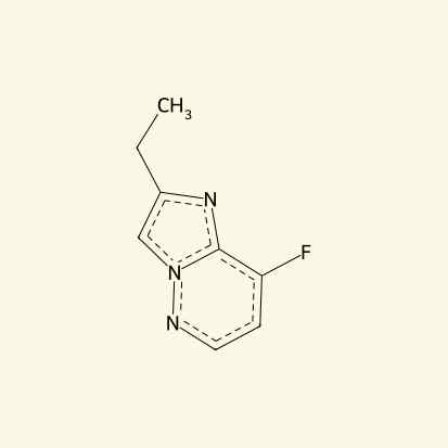 CCc1cn2nccc(F)c2n1